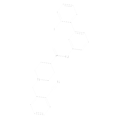 N#Cc1ccccc1CN1CCC(C(=O)Nc2cccc(-c3ccccc3F)c2)CC1